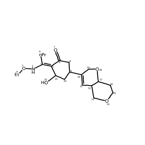 CCCC(NOCC)=C1C(=O)CC(C2=CC3COCCC3OC2)CC1O